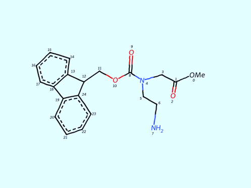 COC(=O)CN(CCN)C(=O)OCC1c2ccccc2-c2ccccc21